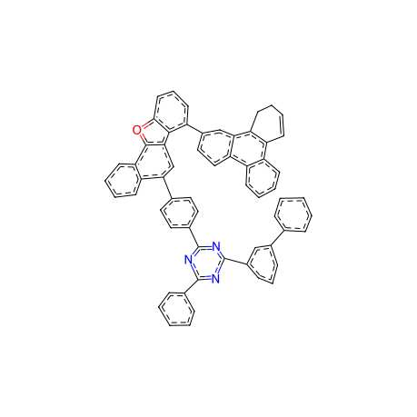 C1=Cc2c(c3cc(-c4cccc5oc6c7ccccc7c(-c7ccc(-c8nc(-c9ccccc9)nc(-c9cccc(-c%10ccccc%10)c9)n8)cc7)cc6c45)ccc3c3ccccc23)CC1